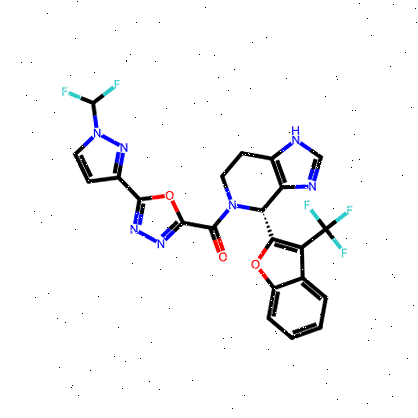 O=C(c1nnc(-c2ccn(C(F)F)n2)o1)N1CCc2[nH]cnc2[C@@H]1c1oc2ccccc2c1C(F)(F)F